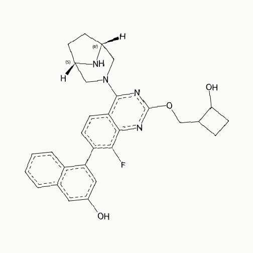 Oc1cc(-c2ccc3c(N4C[C@H]5CC[C@@H](C4)N5)nc(OCC4CCC4O)nc3c2F)c2ccccc2c1